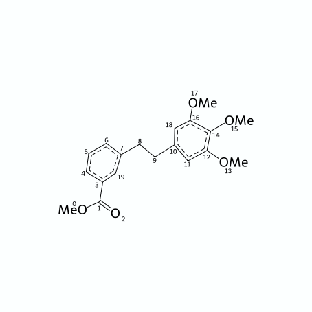 COC(=O)c1cccc(CCc2cc(OC)c(OC)c(OC)c2)c1